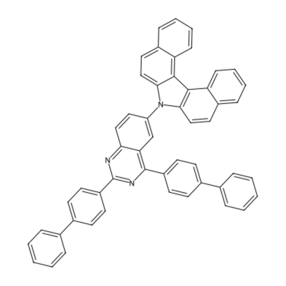 c1ccc(-c2ccc(-c3nc(-c4ccc(-c5ccccc5)cc4)c4cc(-n5c6ccc7ccccc7c6c6c7ccccc7ccc65)ccc4n3)cc2)cc1